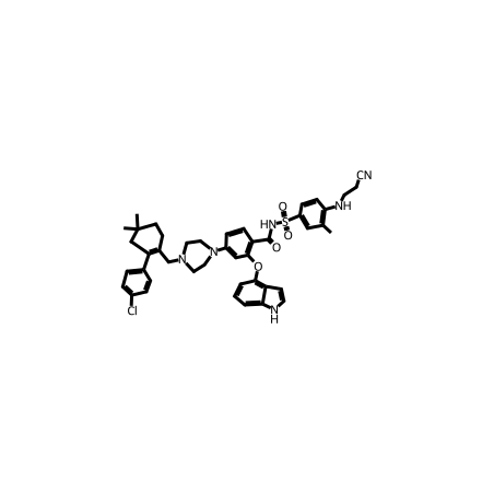 Cc1cc(S(=O)(=O)NC(=O)c2ccc(N3CCN(CC4=C(c5ccc(Cl)cc5)CC(C)(C)CC4)CC3)cc2Oc2cccc3[nH]ccc23)ccc1NCCC#N